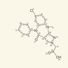 CN1c2ccc(Cl)cc2N(c2ccccc2)C(=O)c2cn(CC(=O)O)nc21